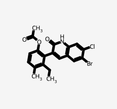 CCc1c(C)ccc(OC(C)=O)c1-c1cc2cc(Br)c(Cl)cc2[nH]c1=O